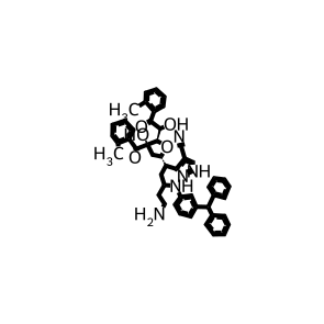 Cc1ccccc1C(=O)C(O)[C@H]1O[C@H](C(CC(CCN)Nc2cccc(C(c3ccccc3)c3ccccc3)c2)c2n[nH]cc2C#N)C[C@@]1(O)C(=O)c1ccccc1C